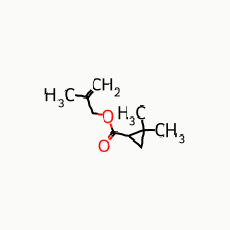 C=C(C)COC(=O)C1CC1(C)C